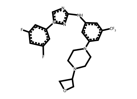 Fc1cc(F)cc(-n2cnc(Nc3cc(N4CCN(C5COC5)CC4)cc(C(F)(F)F)c3)n2)c1